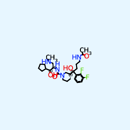 CNC[C@@H](NC(=O)N1CCC[C@@H]([C@@](O)(CCCNC(C)=O)c2cccc(F)c2F)C1)[C@@H](O)C1CCCC1